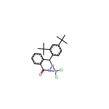 CC(C)(C)c1ccc(C2c3ccccc3C(=O)[N]3[N]2[Ti]3([Cl])[Cl])c(C(C)(C)C)c1